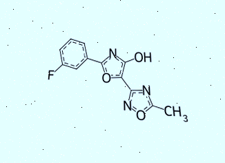 Cc1nc(-c2oc(-c3cccc(F)c3)nc2O)no1